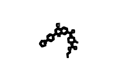 CCCOC(=O)N1CCN(C(=O)c2ccc3c(Cl)cc(-c4ccc(N5CCCC5)cc4)nc3c2)C[C@H]1C